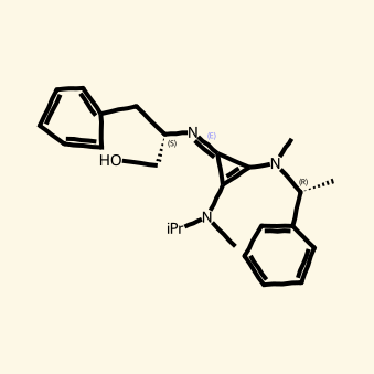 CC(C)N(C)c1c(N(C)[C@H](C)c2ccccc2)/c1=N/[C@H](CO)Cc1ccccc1